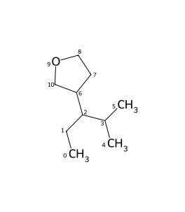 CCC(C(C)C)C1CCOC1